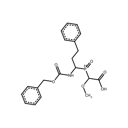 COC(C(=O)O)[PH](=O)C(CCc1ccccc1)NC(=O)OCc1ccccc1